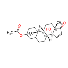 CC(=O)OC1CC[C@@]2(C)C(CC[C@@H]3[C@H]2CC[C@]2(C)C(=O)C=C[C@@]32O)C1